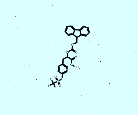 COC(=O)C(Cc1ccc(OS(=O)(=O)C(F)(F)F)cc1)NC(=O)OCC1c2ccccc2-c2ccccc21